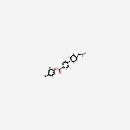 CCCc1ccc(-c2ccc(C(=O)Oc3ccc(C)cc3)cc2)cc1